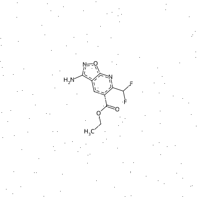 CCOC(=O)c1cc2c(N)noc2nc1C(F)F